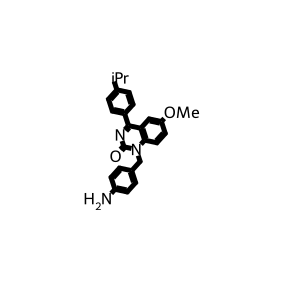 COc1ccc2c(c1)c(-c1ccc(C(C)C)cc1)nc(=O)n2Cc1ccc(N)cc1